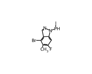 Cc1c(F)cc2c(cnn2PI)c1Br